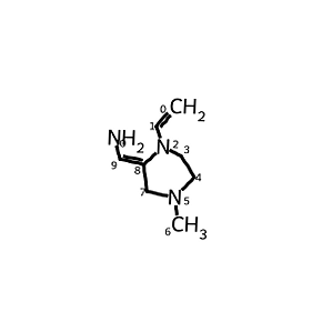 C=CN1CCN(C)C/C1=C/N